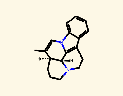 CC1=Cn2c3c(c4ccccc42)CCN2CCC[C@@H]1[C@H]32